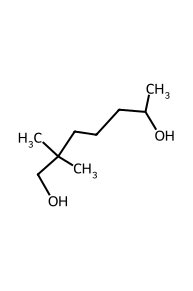 CC(O)CCCC(C)(C)CO